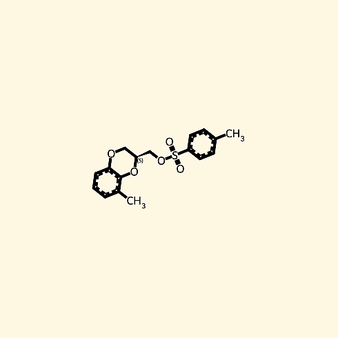 Cc1ccc(S(=O)(=O)OC[C@@H]2COc3cccc(C)c3O2)cc1